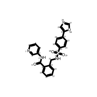 O=C(Nc1cccnc1)c1ccccc1CNS(=O)(=O)c1ccc(-c2cnco2)cc1